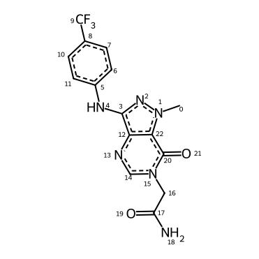 Cn1nc(Nc2ccc(C(F)(F)F)cc2)c2ncn(CC(N)=O)c(=O)c21